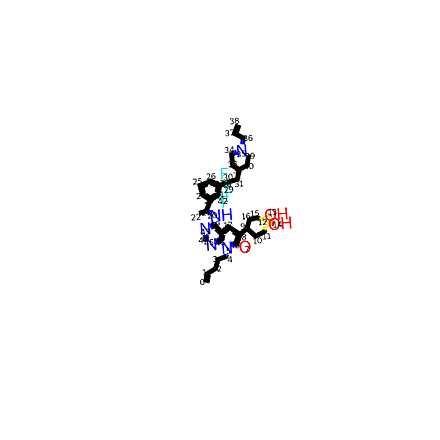 C=CCCCn1c(=O)c(C2CCS(O)(O)CC2)cc2c(NC(C)c3cccc(C(F)(F)CC4CCN(CC=C)CC4)c3F)ncnc21